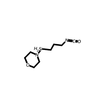 O=C=NCCC[SiH2]N1CCOCC1